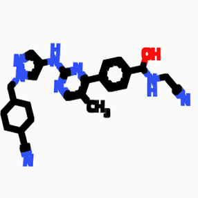 Cc1cnc(Nc2cnn(CC3CCC(C#N)CC3)c2)nc1-c1ccc(C(O)NCC#N)cc1